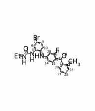 CCNC(=O)Nc1cc(Br)ccc1Nc1ccc(C(=O)c2ccccc2C)c(F)c1